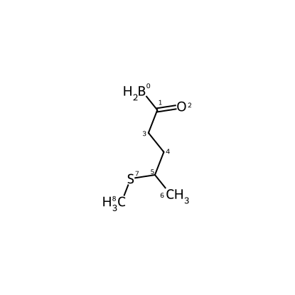 BC(=O)CCC(C)SC